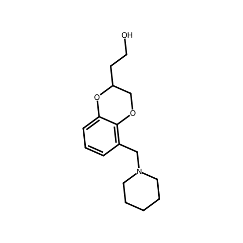 OCCC1COc2c(CN3CCCCC3)cccc2O1